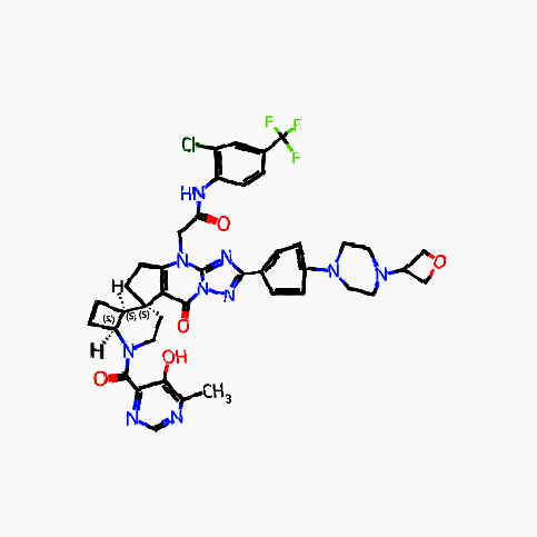 Cc1ncnc(C(=O)N2CC[C@@]3(CCc4c3c(=O)n3nc(-c5ccc(N6CCN(C7COC7)CC6)cc5)nc3n4CC(=O)Nc3ccc(C(F)(F)F)cc3Cl)[C@@H]3CC[C@@H]32)c1O